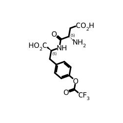 N[C@@H](CC(=O)O)C(=O)N[C@@H](Cc1ccc(OC(=O)C(F)(F)F)cc1)C(=O)O